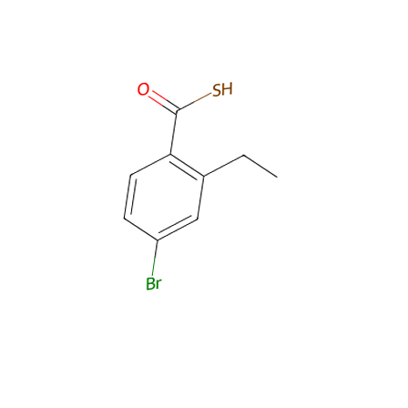 CCc1cc(Br)ccc1C(=O)S